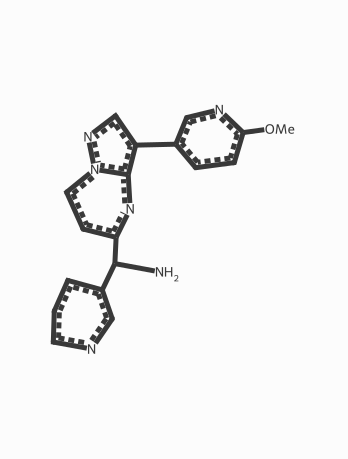 COc1ccc(-c2cnn3ccc(C(N)c4cccnc4)nc23)cn1